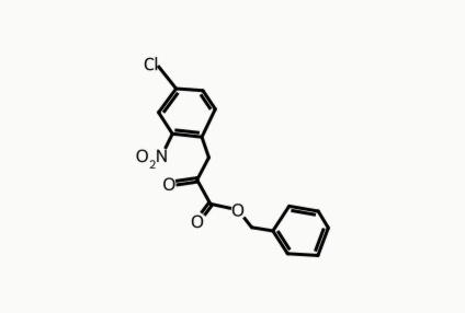 O=C(Cc1ccc(Cl)cc1[N+](=O)[O-])C(=O)OCc1ccccc1